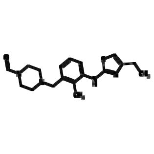 CCc1csc(Nc2cccc(CN3CCN(C=O)CC3)c2C)n1